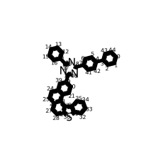 c1ccc(-c2ccc(-c3nc(-c4ccccc4)nc(-c4ccc5c(ccc6ccc7sc8ccccc8c7c65)c4)n3)cc2)cc1